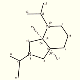 CC(C)N1C[C@]2(C)CCCN(C(C)C)[C@]2(C)C1